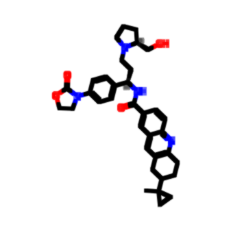 CC1(C2CCc3nc4ccc(C(=O)N[C@H](CCN5CCC[C@H]5CO)c5ccc(N6CCOC6=O)cc5)cc4cc3C2)CC1